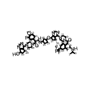 CC(C)NCC[C@@H](C(=O)N1CCN(c2ncnc3c2[C@H](C)C[C@@H]3OC2CCC(NC[C@@H](C(=O)N3CCN(c4ncnc5c4[C@H](C)C[C@H]5O)CC3)c3ccc(Cl)c(F)c3)C2)CC1)c1ccc(C(F)(F)F)cc1F